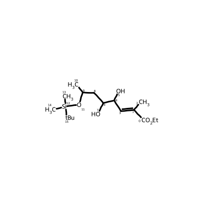 CCOC(=O)C(C)=CC(O)C(O)CC(C)O[Si](C)(C)C(C)(C)C